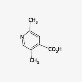 Cc1cc(C(=O)O)c(C)cn1